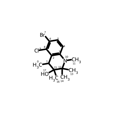 CC1c2c(ccc(Br)c2Cl)N(C)C(C)(C)C1(C)O